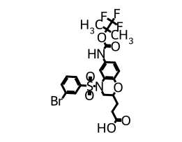 CC(C)(OC(=O)Nc1ccc2c(c1)N(S(=O)(=O)c1cccc(Br)c1)CC(CCC(=O)O)O2)C(F)(F)F